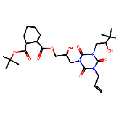 C=CCn1c(=O)n(CC(O)COC(=O)C2CCCCC2C(=O)OC(C)(C)C)c(=O)n(CC(O)C(C)(C)C)c1=O